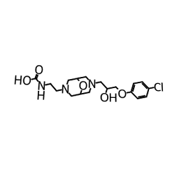 O=C(O)NCCN1CC2CN(CC(O)COc3ccc(Cl)cc3)CC(C1)O2